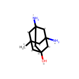 CC12CC3(N)CC(N)(C1)CC(O)(C2)C3